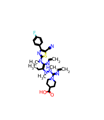 C=C/N=C(/N1CCC(C(=O)O)CC1)N(C)N(C)/C(CC)=C(\NC=C)N(C)c1nc(-c2ccc(F)cc2)c(C#N)s1